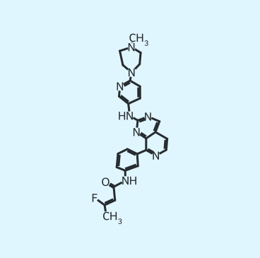 CC(F)=CC(=O)Nc1cccc(-c2nccc3cnc(Nc4ccc(N5CCN(C)CC5)nc4)nc23)c1